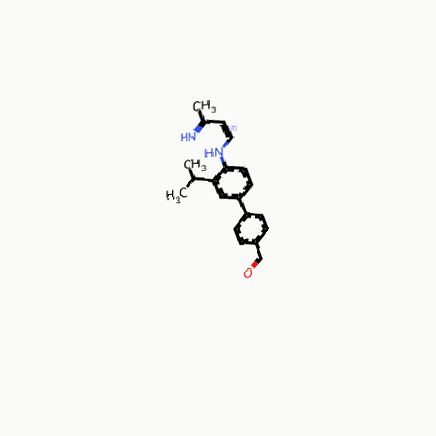 CC(=N)/C=C\Nc1ccc(-c2ccc(C=O)cc2)cc1C(C)C